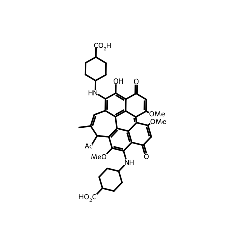 COc1c(NC2CCC(C(=O)O)CC2)c2c(=O)cc(OC)c3c4c(OC)cc(=O)c5c(O)c(NC6CCC(C(=O)O)CC6)c6c(c(c1C(C(C)=O)C(C)=C6)c23)c54